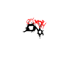 Cc1cc(O)c(O)c(-c2cc(C)c(C)cc2O)c1